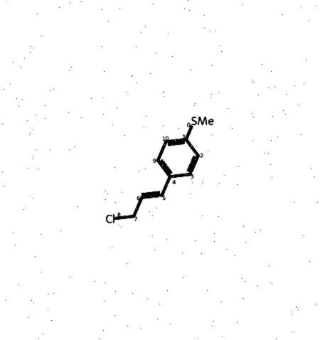 CSc1ccc(/C=C/CCl)cc1